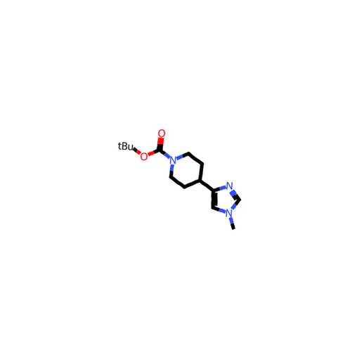 Cn1cnc(C2CCN(C(=O)OC(C)(C)C)CC2)c1